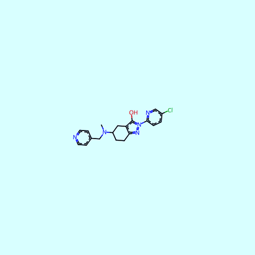 CN(Cc1ccncc1)C1CCc2nn(-c3ccc(Cl)cn3)c(O)c2C1